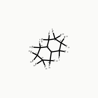 FC1(F)C2C(C(F)(F)C(F)(F)C1(F)F)C(F)(I)C(F)(F)C(F)(F)C2(F)F